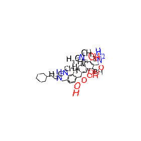 B=C1C(C(N)=O)=C(O)[C@@H](N(C)C)[C@@H]2C[C@@H]3Cc4c(c(O)cc(CNCCC5CCCCC5)c4N(C)C)C(=O)C3=C(O)[C@]12O